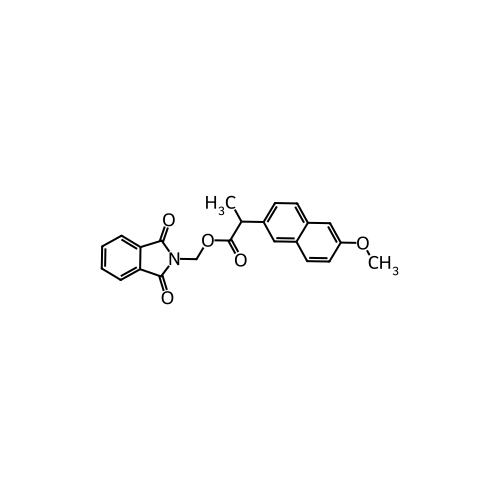 COc1ccc2cc(C(C)C(=O)OCN3C(=O)c4ccccc4C3=O)ccc2c1